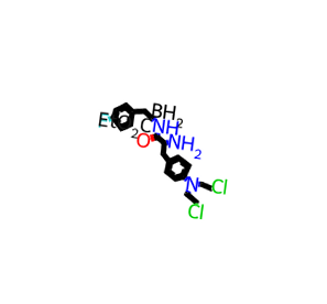 BC(Cc1ccc(F)cc1)(NC(=O)C(N)Cc1ccc(N(CCCl)CCCl)cc1)C(=O)OCC